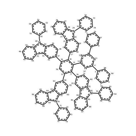 c1ccc(-c2nc(-c3ccccc3)nc(-c3c(-c4ccc5c(c4)c4ccccc4n5-c4ccccc4)c(-c4ccc5c(c4)c4ccccc4n5-c4ccccc4)cc(-c4ccc5c(c4)c4ccccc4n5-c4ccccc4)c3-c3ccc4c(c3)c3ccccc3n4-c3ccccc3)n2)cc1